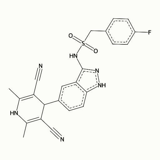 CC1=C(C#N)C(c2ccc3[nH]nc(NS(=O)(=O)Cc4ccc(F)cc4)c3c2)C(C#N)=C(C)N1